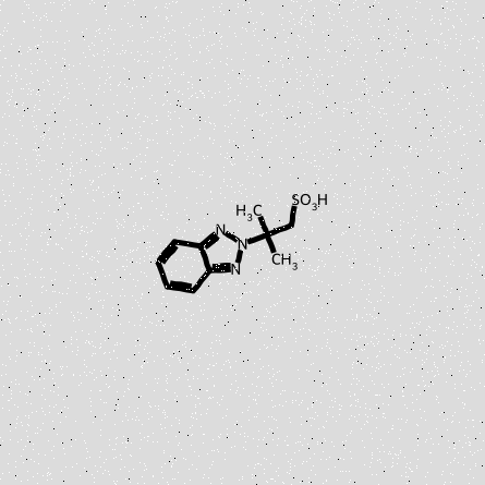 CC(C)(CS(=O)(=O)O)n1nc2ccccc2n1